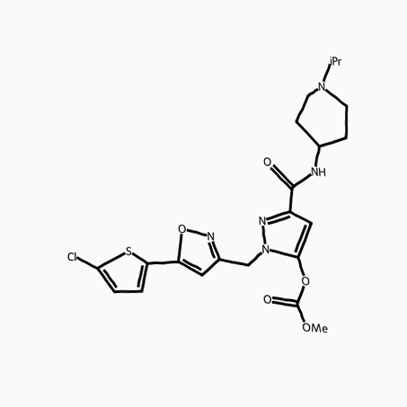 COC(=O)Oc1cc(C(=O)NC2CCN(C(C)C)CC2)nn1Cc1cc(-c2ccc(Cl)s2)on1